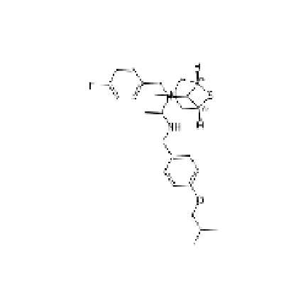 C=C(NCc1ccc(OCC(C)C)cc1)N(Cc1ccc(F)cc1)C1[C@@H]2CN(C)C[C@H]1S2